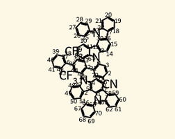 N#Cc1ccc(-n2c3ccccc3c3c2ccc2c4ccccc4n(-c4ccccc4)c23)c(-c2ccc(-c3c(C(F)(F)F)cccc3C(F)(F)F)cc2-n2c3ccccc3c3c2ccc2c4ccccc4n(-c4ccccc4)c23)c1